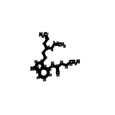 C=CCN(CC=C)CCc1c[nH]c2cccc(OC(=O)CCC(=O)O)c12